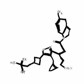 CCCC(C)(CC)CC1CC(c2onc(C(CCC(=O)O)CC(=O)N3CCC4=C3C=CC(C)C4)c2C2CC2)C1